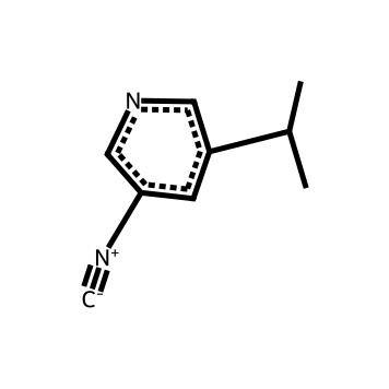 [C-]#[N+]c1cncc(C(C)C)c1